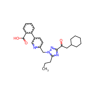 CCCc1nc(C(=O)CC2CCCCC2)nn1Cc1ccc(-c2ccccc2C(=O)O)cn1